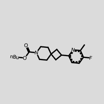 CCCCOC(=O)N1CCC2(CC1)CC(c1ccc(F)c(C)n1)C2